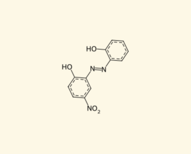 O=[N+]([O-])c1ccc(O)c(/N=N/c2ccccc2O)c1